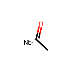 C[C]=O.[Nb]